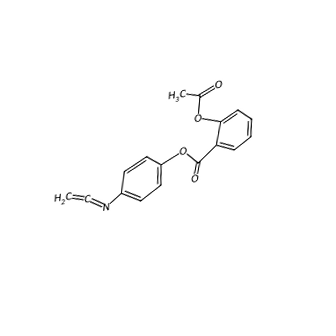 C=C=Nc1ccc(OC(=O)c2ccccc2OC(C)=O)cc1